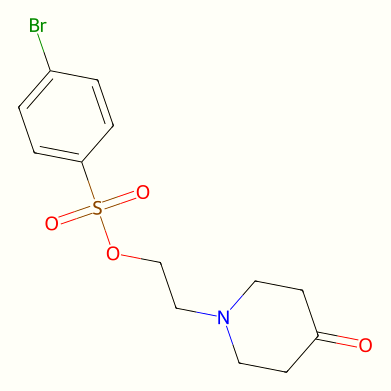 O=C1CCN(CCOS(=O)(=O)c2ccc(Br)cc2)CC1